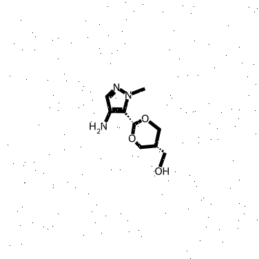 Cn1ncc(N)c1[C@H]1OC[C@@H](CO)CO1